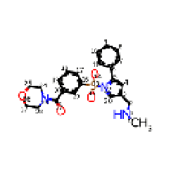 CNCc1cc(-c2ccccc2)n(S(=O)(=O)c2cccc(C(=O)N3CCOCC3)c2)c1